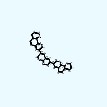 c1cnc2c(c1)ccc1cc(-c3cnc4ncc(-c5cnc6c(ccc7cccnc76)c5)cc4c3)cnc12